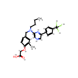 CCCCN(Cc1ccc(OCC(=O)O)c(C)c1)c1cncc(-c2ccc(C(F)(F)F)cc2)n1